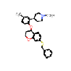 O=C(O)N1CCC(c2cc(C(F)(F)F)ccc2OC2CCOc3cc(SCc4ccccc4)ccc32)CC1